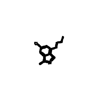 CCCCc1cc(Cl)cc2c1cnn2C